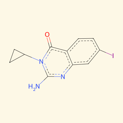 Nc1nc2cc(I)ccc2c(=O)n1C1CC1